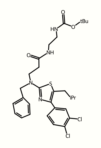 CC(C)Cc1sc(N(CCC(=O)NCCNC(=O)OC(C)(C)C)Cc2ccccc2)nc1-c1ccc(Cl)c(Cl)c1